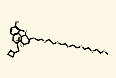 COCCOCCOCCOCCOCCOCCOC1CC[C@@]2(O)C3Cc4ccc(O)c5c4[C@@]2(CCN3CC2CCC2)[C@H]1O5